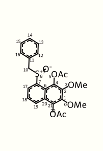 COc1c(OC)c(OC(C)=O)c2c([S+]([O-])Cc3ccccc3)cccc2c1OC(C)=O